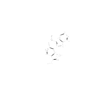 CC(C)c1n[nH]c2cc(CC(C)c3n[nH]c4cnccc34)ncc12